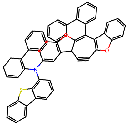 C1#CC2C(=C(c3ccccc3-c3ccccc3)c3c1oc1ccccc31)Oc1ccc(N(C3=C(c4ccccc4)CCC=C3)c3cccc4c3sc3ccccc34)cc12